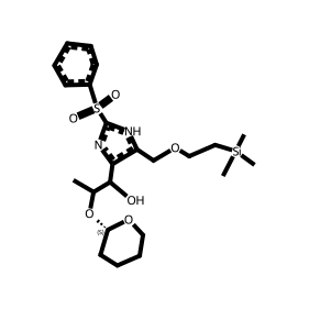 CC(O[C@H]1CCCCO1)C(O)c1nc(S(=O)(=O)c2ccccc2)[nH]c1COCC[Si](C)(C)C